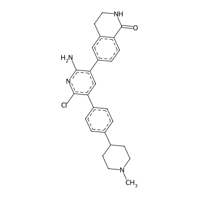 CN1CCC(c2ccc(-c3cc(-c4ccc5c(c4)CCNC5=O)c(N)nc3Cl)cc2)CC1